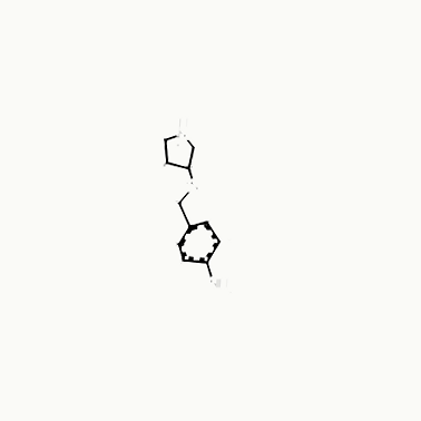 Nc1ccc(CNC2CCNC2)cc1